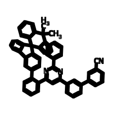 CC1(C)c2ccccc2C2(c3ccccc3-c3cc(-c4ccccc4-c4cc(-c5cccc(-c6cccc(C#N)c6)c5)nc(-c5ccccc5)n4)ccc32)c2ccccc21